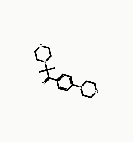 CC(C)(C(=O)c1ccc(N2CCOCC2)cc1)N1CCOCC1